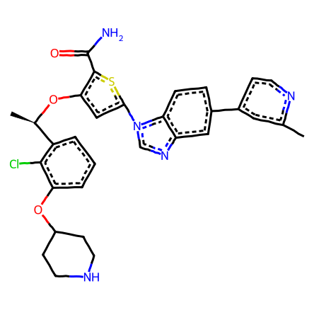 Cc1cc(-c2ccc3c(c2)ncn3-c2cc(O[C@H](C)c3cccc(OC4CCNCC4)c3Cl)c(C(N)=O)s2)ccn1